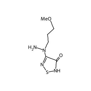 COCCCN(N)c1ns[nH]c1=O